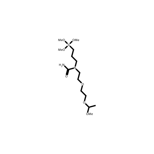 COC(C)OCCOCCN(CCC[Si](OC)(OC)OC)C(N)=O